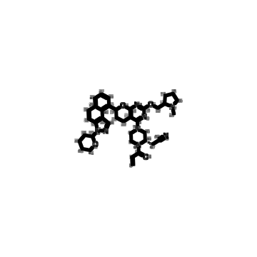 C=CC(=O)N1CCN(c2nc(OCC3CCCN3C)nc3c2CCC(c2cccc4ccc5c(cnn5C5CCCCO5)c24)O3)C[C@@H]1CC#N